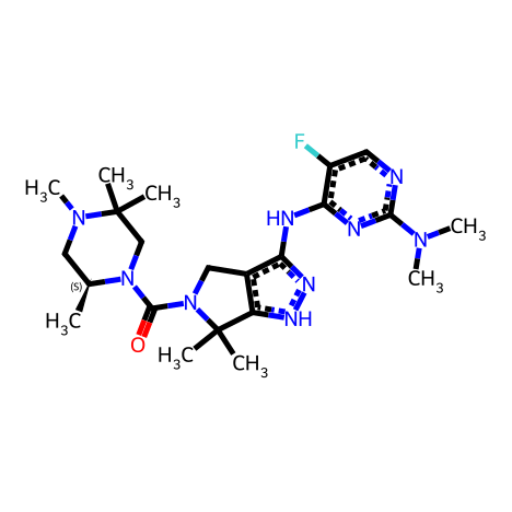 C[C@H]1CN(C)C(C)(C)CN1C(=O)N1Cc2c(Nc3nc(N(C)C)ncc3F)n[nH]c2C1(C)C